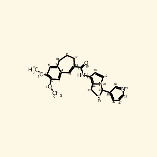 COc1cc2c(cc1OC)CCCC(C(=O)Nc1ccn3c1CSC3c1cccnc1)=C2